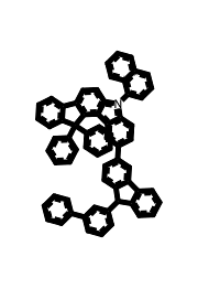 c1ccc(-c2cccc(C3c4ccccc4-c4cc(-c5ccc6c(c5)c5c7c(ccc5n6-c5cccc6ccccc56)-c5ccccc5C7(c5ccccc5)c5ccccc5)ccc43)c2)cc1